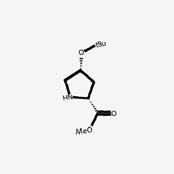 COC(=O)[C@H]1C[C@@H](OC(C)(C)C)CN1